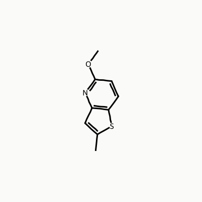 COc1ccc2sc(C)cc2n1